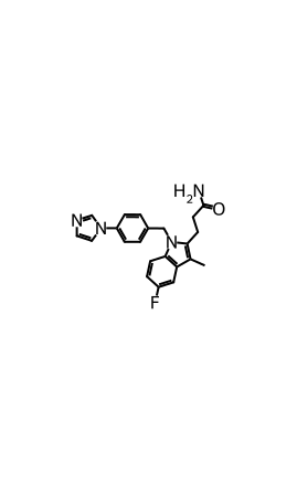 Cc1c(CCC(N)=O)n(Cc2ccc(-n3ccnc3)cc2)c2ccc(F)cc12